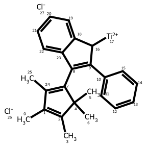 CC1=C(C)C(C)(C)C(C2=C(c3ccccc3)[CH]([Ti+2])c3ccccc32)=C1C.[Cl-].[Cl-]